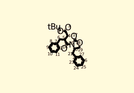 CC(C)(C)OC(=O)CC(Cc1ccccc1)C(=O)N1C(=O)OCC1Cc1ccccc1